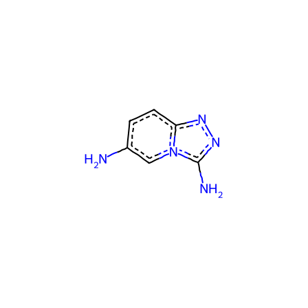 Nc1ccc2nnc(N)n2c1